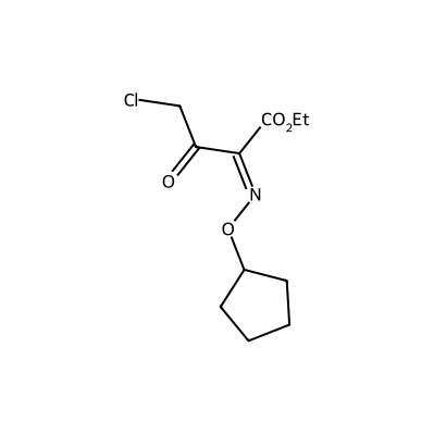 CCOC(=O)C(=NOC1CCCC1)C(=O)CCl